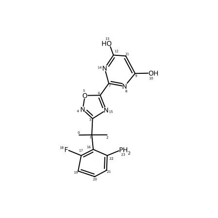 CC(C)(c1noc(-c2nc(O)cc(O)n2)n1)c1c(F)cccc1P